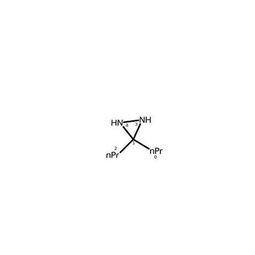 CCCC1(CCC)NN1